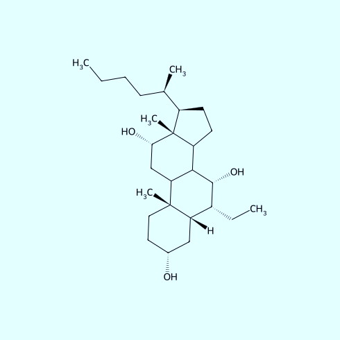 CCCC[C@@H](C)[C@H]1CCC2C3C(C[C@H](O)[C@@]21C)[C@@]1(C)CC[C@@H](O)C[C@H]1[C@@H](CC)[C@H]3O